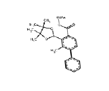 COOC(=O)c1ccc(-c2ccccc2)c(C)c1B1OC(C)(C)C(C)(C)O1